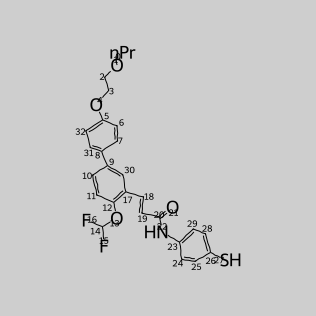 CCCOCCOc1ccc(-c2ccc(OC(F)F)c(/C=C/C(=O)Nc3ccc(S)cc3)c2)cc1